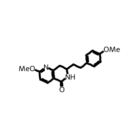 COc1ccc(CCC2Cc3nc(OC)ccc3C(=O)N2)cc1